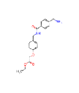 CCOC(=O)COc1ccc(CNC(=O)c2ccc(CN)cc2)cc1